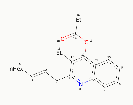 CCCCCCC=CCc1nc2ccccc2c(OC(=O)CC)c1CC